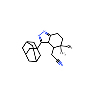 CC1(C)CCC2=NN=C(C34CC5CC(CC(C5)C3)C4)C2C1CC#N